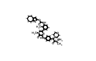 Cc1c(NC(=O)Oc2cc3c(s2)CCCCC3)cccc1-c1cn(C)c(=O)c(Nc2ccc(C(C(=O)N(C)C)N3CCOCC3)cc2)n1